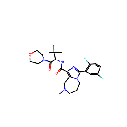 CN1CCCn2c(-c3cc(F)ccc3F)nc(C(=O)N[C@H](C(=O)N3CCOCC3)C(C)(C)C)c2C1